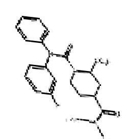 CCCCCN(CCCCC)C(=O)C1CCN(C(=O)N(c2ccccc2)c2cccc(Cl)c2)C(C(=O)O)C1